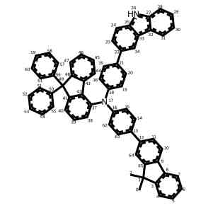 CC1(C)c2ccccc2-c2ccc(-c3ccc(N(c4ccc(-c5ccc6[nH]c7ccccc7c6c5)cc4)c4cccc5c4-c4ccccc4C5(c4ccccc4)c4ccccc4)cc3)cc21